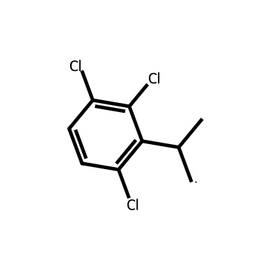 [CH2]C(C)c1c(Cl)ccc(Cl)c1Cl